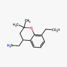 CC1(C)CC(CN)c2cccc(CC(=O)O)c2O1